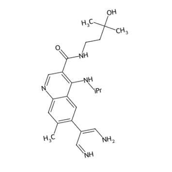 Cc1cc2ncc(C(=O)NCCC(C)(C)O)c(NC(C)C)c2cc1/C(C=N)=C/N